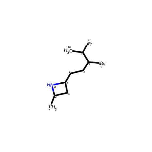 CCC(C)C(CCC1CC(C)N1)C(C)C(C)C